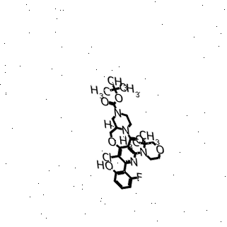 CC(C)(C)OC(=O)N1CCN2C(=O)c3c(N4CCOCC4(C)C)nc(-c4c(O)cccc4F)c(Cl)c3OC[C@H]2C1